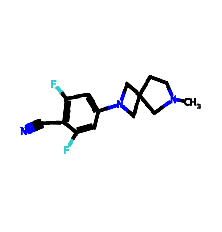 CN1CCC2(C1)CN(c1cc(F)c(C#N)c(F)c1)C2